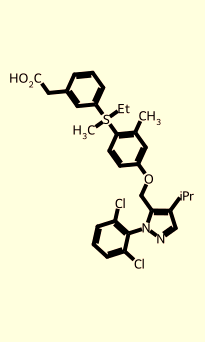 CCS(C)(c1cccc(CC(=O)O)c1)c1ccc(OCc2c(C(C)C)cnn2-c2c(Cl)cccc2Cl)cc1C